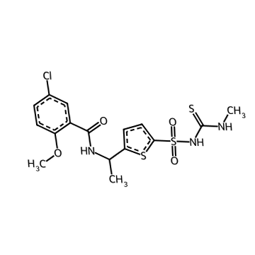 CNC(=S)NS(=O)(=O)c1ccc(C(C)NC(=O)c2cc(Cl)ccc2OC)s1